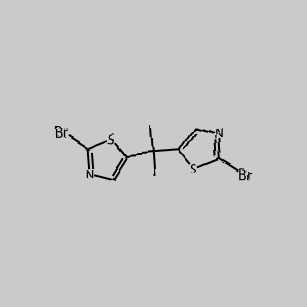 CC(C)(c1cnc(Br)s1)c1cnc(Br)s1